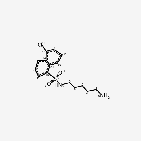 NCCCCCNS(=O)(=O)c1cccc2c(Cl)cccc12